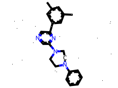 Cc1cc(C)cc(-c2cncc(N3CCN(c4ccccc4)CC3)n2)c1